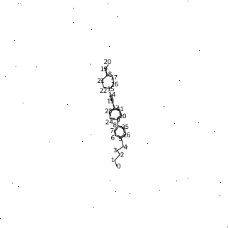 CCCCCc1ccc(-c2ccc(C#C[C@H]3CC[C@H](CC)CC3)cc2)cc1